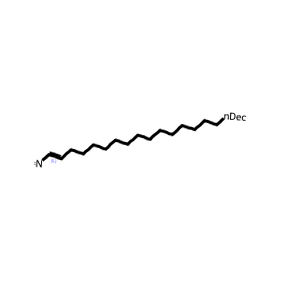 CCCCCCCCCCCCCCCCCCCCCCCC/C=C/[N]